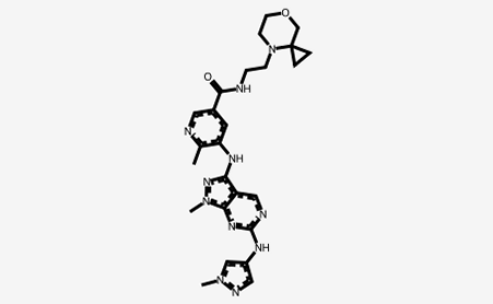 Cc1ncc(C(=O)NCCN2CCOCC23CC3)cc1Nc1nn(C)c2nc(Nc3cnn(C)c3)ncc12